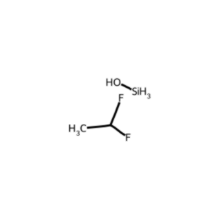 CC(F)F.O[SiH3]